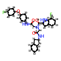 O=C(CN(CC(=O)NC1Cc2ccccc2C1)C(=O)c1cc2cccc(F)c2[nH]1)Nc1ccc(Oc2ccc(F)cc2)cc1